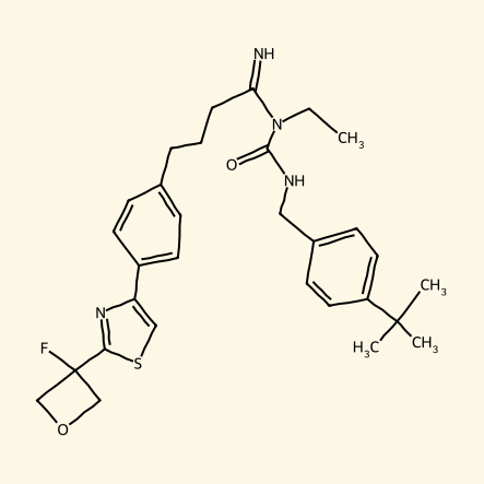 CCN(C(=N)CCCc1ccc(-c2csc(C3(F)COC3)n2)cc1)C(=O)NCc1ccc(C(C)(C)C)cc1